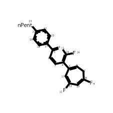 C=C(/C=C\C(C1=CCC(F)=CC(F)=C1)=C(/C)F)c1ccc(CCCCC)cc1